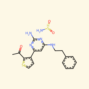 CC(=O)c1sccc1-c1cc(NCCc2ccccc2)nc(N)n1.N[SH](=O)=O